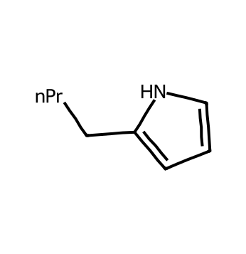 C[CH]CCc1ccc[nH]1